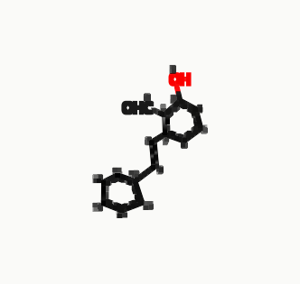 O=Cc1c(O)cccc1C=Cc1ccccc1